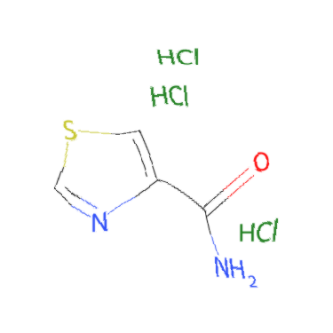 Cl.Cl.Cl.NC(=O)c1cscn1